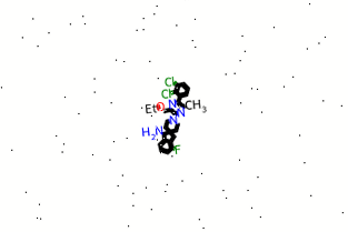 CCOCc1nc(-c2cccc(Cl)c2Cl)c(C)nc1N1CCC2(CC1)Cc1c(F)cccc1[C@H]2N